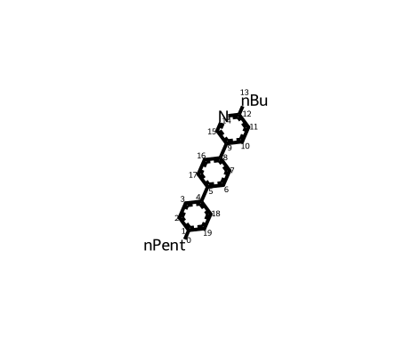 CCCCCc1ccc(-c2ccc(-c3ccc(CCCC)nc3)cc2)cc1